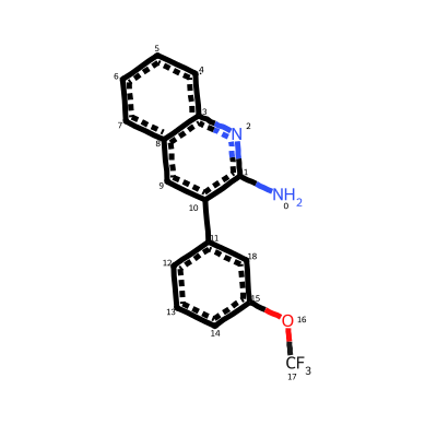 Nc1nc2[c]cccc2cc1-c1cccc(OC(F)(F)F)c1